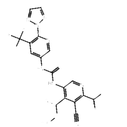 CO[C@H](C)c1c(NC(=O)Nc2cnc(-n3nccn3)c(C(F)(F)F)c2)cnc(C(F)F)c1C#N